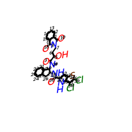 CN(C(=O)[C@@H](O)CCN1C(=O)c2ccccc2C1=O)[C@@H]1c2ccccc2C[C@H]1NC(=O)c1cc2sc(Cl)c(Cl)c2[nH]1